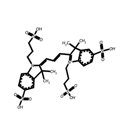 CC1(C)C(/C=C/C=C2/N(CCCS(=O)(=O)O)c3ccc(S(=O)(=O)O)cc3C2(C)C)=[N+](CCCS(=O)(=O)O)c2ccc(S(=O)(=O)O)cc21